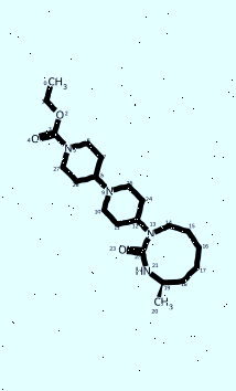 CCOC(=O)N1CCC(N2CCC(N3CCCCC[C@@H](C)NC3=O)CC2)CC1